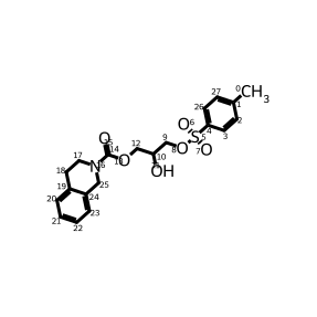 Cc1ccc(S(=O)(=O)OCC(O)COC(=O)N2CCc3ccccc3C2)cc1